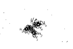 Cc1cc(C)c(S(=O)(=O)OCC(OS(=O)(=O)c2c(C)cc(C)cc2C)C(C)OS(=O)(=O)c2c(C)cc(C)cc2C)c(C)c1